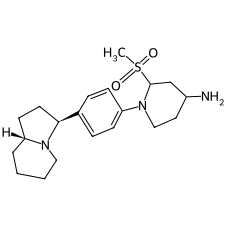 CS(=O)(=O)C1CC(N)CCN1c1ccc([C@@H]2CC[C@H]3CCCCN32)cc1